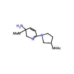 CNC1(N)C=CC(N2CCC(NC(C)=O)C2)=NC1